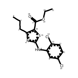 CCCc1nc(Nc2cc(Cl)ccc2Cl)sc1C(=O)OCC